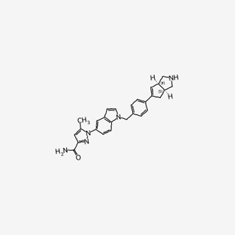 Cc1cc(C(N)=O)nn1-c1ccc2c(ccn2Cc2ccc(C3=C[C@H]4CNC[C@H]4C3)cc2)c1